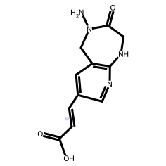 NN1Cc2cc(/C=C/C(=O)O)cnc2NCC1=O